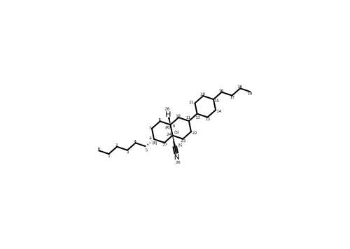 CCCCCC[C@@H]1CC[C@@H]2CC(C3CCC(CCCC)CC3)CC[C@]2(C#N)C1